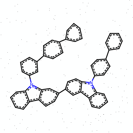 c1ccc(-c2ccc(-c3cccc(-n4c5ccccc5c5ccc(-c6ccc7c(c6)c6ccccc6n7-c6ccc(-c7ccccc7)cc6)cc54)c3)cc2)cc1